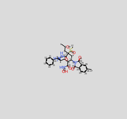 CCCC(C[C@H]([C@H](C/C=C/c1ccccc1)C(=O)NO)N1C(=O)c2ccc(C)cc2C1=O)(C(=O)NN)S(C)(=O)=O